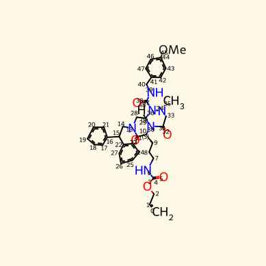 C=CCOC(=O)NCCC[C@H]1C(=O)N(CC(c2ccccc2)c2ccccc2)C[C@H]2N1C(=O)CN(C)N2C(=O)NCc1ccc(OC)cc1